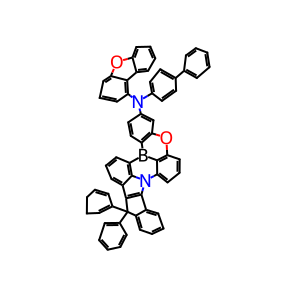 C1=CC(C2(c3ccccc3)c3ccccc3-c3c2c2cccc4c2n3-c2cccc3c2B4c2ccc(N(c4ccc(-c5ccccc5)cc4)c4cccc5oc6ccccc6c45)cc2O3)=CCC1